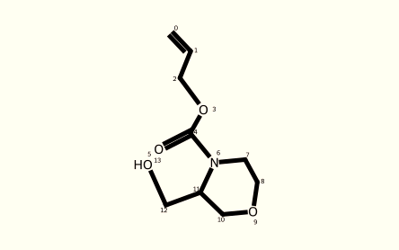 C=CCOC(=O)N1CCOCC1CO